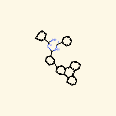 N/C(=N\C(NCc1ccccc1)c1cccc(-c2ccc3c4ccccc4c4ccccc4c3c2)c1)c1ccccc1